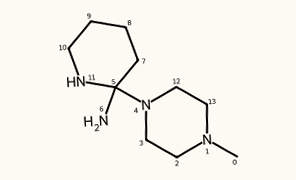 CN1CCN(C2(N)CCCCN2)CC1